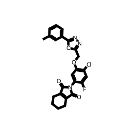 Cc1cccc(-c2nnc(COc3cc(N4C(=O)C5=C(CCCC5)C4=O)c(F)cc3Cl)o2)c1